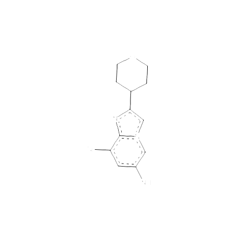 Nc1cc(Br)c2nc(C3CCOCC3)cn2c1